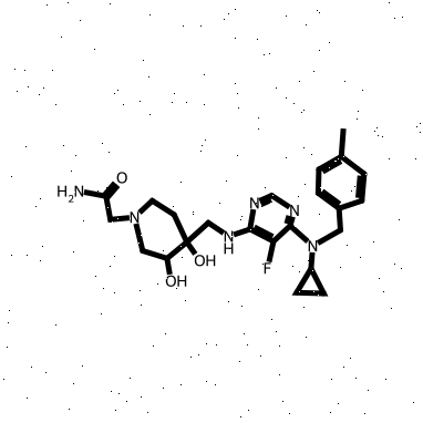 Cc1ccc(CN(c2ncnc(NCC3(O)CCN(CC(N)=O)CC3O)c2F)C2CC2)cc1